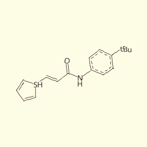 CC(C)(C)c1ccc(NC(=O)C=C[SH]2C=CC=C2)cc1